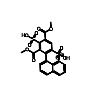 COC(=O)c1cc(S(=O)(=O)O)c(-c2cccc3ccc[c]([Na])c23)c(C(=O)OC)c1S(=O)(=O)O